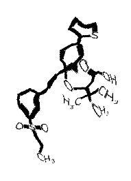 CCCS(=O)(=O)c1cccc(C#CC2(OC(C(=O)O)C(C)(C)C)C=CC(c3cccs3)=CC2)c1